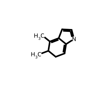 CC1=C2C=C=NC2=CCC1C